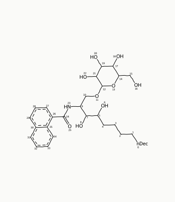 CCCCCCCCCCCCCCC(O)C(O)C(COC1OC(CO)C(O)C(O)C1O)NC(=O)c1cccc2ccccc12